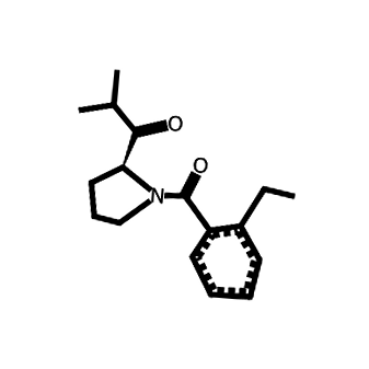 CCc1ccccc1C(=O)N1CCC[C@H]1C(=O)C(C)C